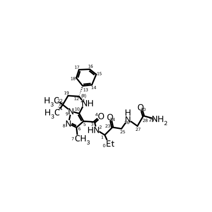 CCC(NC(=O)c1c(C)nn2c1N[C@@H](c1ccccc1)CC2(C)C)C(=O)CNCC(N)=O